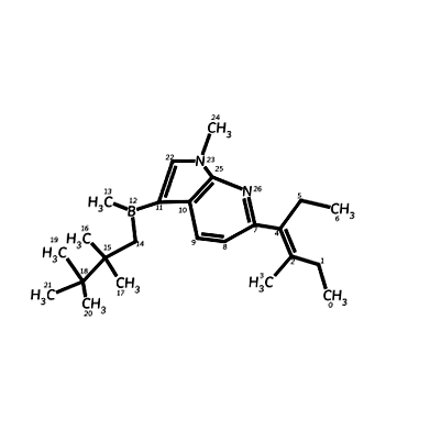 CC/C(C)=C(\CC)c1ccc2c(B(C)CC(C)(C)C(C)(C)C)cn(C)c2n1